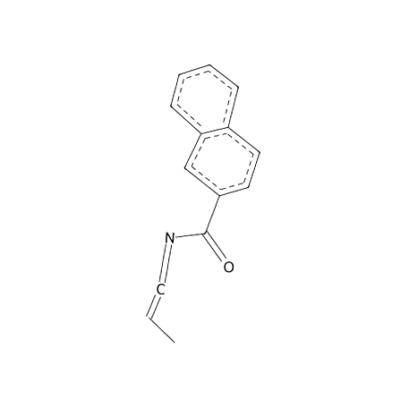 CC=C=NC(=O)c1ccc2ccccc2c1